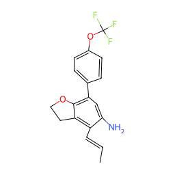 CC=Cc1c(N)cc(-c2ccc(OC(F)(F)F)cc2)c2c1CCO2